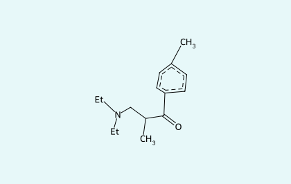 CCN(CC)CC(C)C(=O)c1ccc(C)cc1